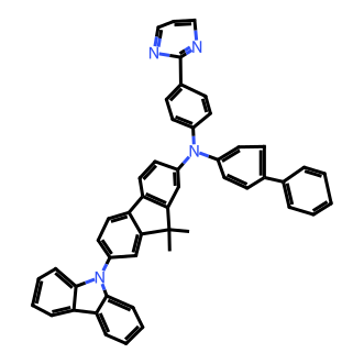 CC1(C)c2cc(N(c3ccc(-c4ccccc4)cc3)c3ccc(-c4ncccn4)cc3)ccc2-c2ccc(-n3c4ccccc4c4ccccc43)cc21